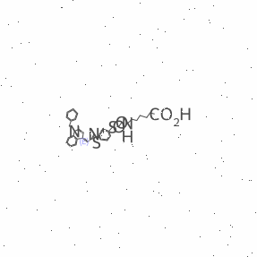 C[n+]1c(/C=C2\C=CN(Cc3ccccc3)c3ccccc32)sc2ccc(SOONCCCCCC(=O)O)cc21